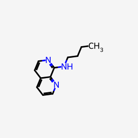 CCCCNc1nccc2cccnc12